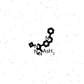 [AsH2]c1ncnc2c1c(-c1ccc3ccc(-c4ccccc4)nc3c1)cn2C1=CC=C1